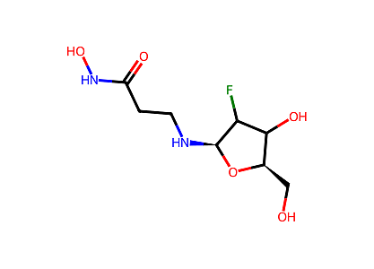 O=C(CCN[C@@H]1O[C@H](CO)C(O)C1F)NO